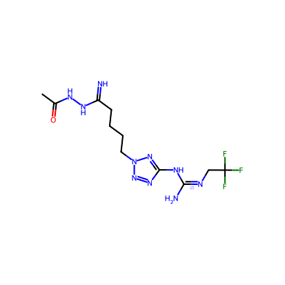 CC(=O)NNC(=N)CCCCn1nnc(N/C(N)=N\CC(F)(F)F)n1